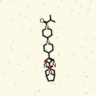 CC(C)C(=O)N1CCC(N2CCC(c3cnc(N4C5CCC4CN(C(C)C)C5)nc3)CC2)CC1